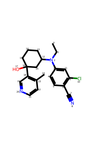 CCN(c1ccc(C#N)c(Cl)c1)C1CCCC(O)(c2cnccc2C)C1